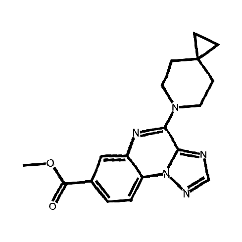 COC(=O)c1ccc2c(c1)nc(N1CCC3(CC1)CC3)c1ncnn12